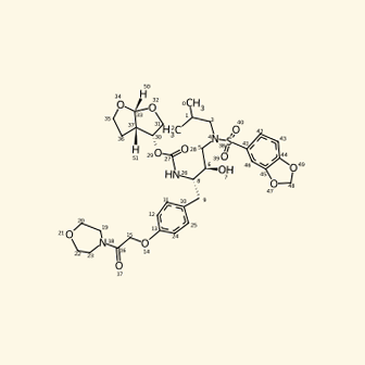 CC(C)CN(C[C@@H](O)[C@H](Cc1ccc(OCC(=O)N2CCOCC2)cc1)NC(=O)O[C@H]1CO[C@H]2OCC[C@H]21)S(=O)(=O)c1ccc2c(c1)OCO2